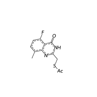 CC(=O)SCc1nc2c(C)ccc(F)c2c(=O)[nH]1